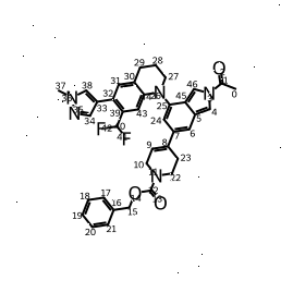 CC(=O)n1cc2cc(C3=CCN(C(=O)OCc4ccccc4)CC3)cc(N3CCCc4cc(-c5cnn(C)c5)c(C(F)F)cc43)c2c1